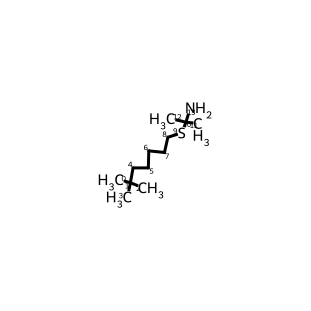 CC(C)(C)CCCCCSC(C)(C)N